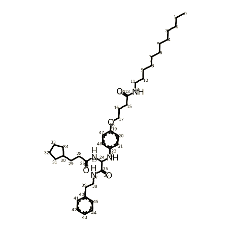 CCCCCCCCCCCCNC(=O)CCCOc1ccc(NC(NC(=O)CCC2CCCC2)C(=O)NCCc2ccccc2)cc1